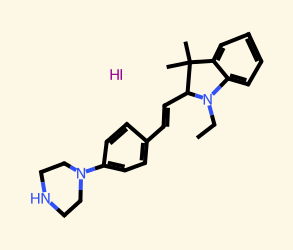 CCN1c2ccccc2C(C)(C)C1C=Cc1ccc(N2CCNCC2)cc1.I